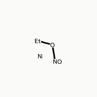 CCON=O.[N]